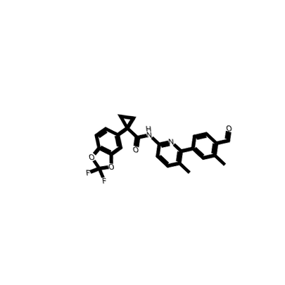 Cc1cc(-c2nc(NC(=O)C3(c4ccc5c(c4)OC(F)(F)O5)CC3)ccc2C)ccc1C=O